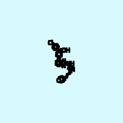 OCC1(c2ccc(Cl)cc2)CCN(c2cccn3nc(Nc4cnn(CCCN5CCOCC5)c4)nc23)CC1